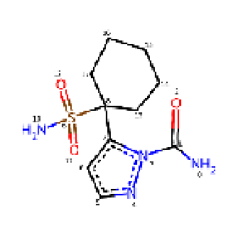 NC(=O)n1nccc1C1(S(N)(=O)=O)CCCCC1